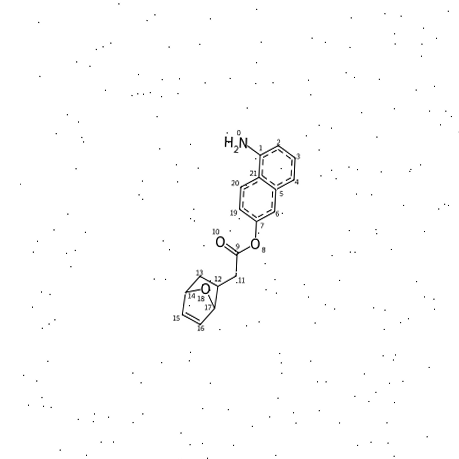 Nc1cccc2cc(OC(=O)CC3CC4C=CC3O4)ccc12